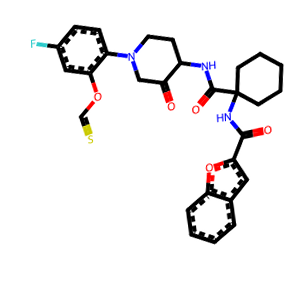 O=C(NC1(C(=O)NC2CCN(c3ccc(F)cc3OC=S)CC2=O)CCCCC1)c1cc2ccccc2o1